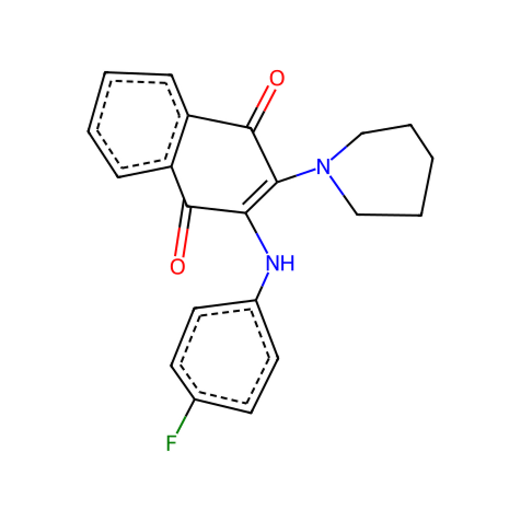 O=C1C(Nc2ccc(F)cc2)=C(N2CCCCC2)C(=O)c2ccccc21